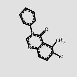 Cc1c(Br)ccc2ncn(-c3ccccc3)c(=O)c12